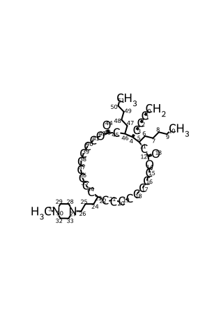 C=C=C=C=C1C(CCCCC)CC(=O)OCCCCCCCCC(CCCN2CCN(C)CC2)CCCCCCCCOC(=O)CC1CCCCC